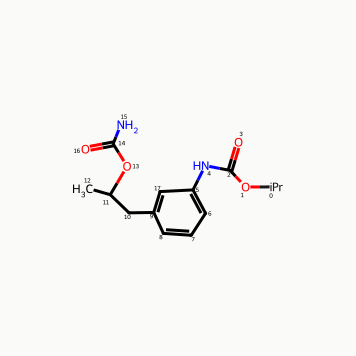 CC(C)OC(=O)Nc1cccc(CC(C)OC(N)=O)c1